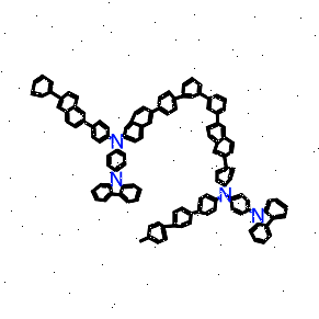 Cc1ccc(-c2ccc(-c3ccc(N(c4ccc(-c5ccc6cc(-c7cccc(-c8cccc(-c9ccc(-c%10ccc%11cc(N(c%12ccc(-c%13ccc%14cc(-c%15ccccc%15)ccc%14c%13)cc%12)c%12ccc(-n%13c%14ccccc%14c%14ccccc%14%13)cc%12)ccc%11c%10)cc9)c8)c7)ccc6c5)cc4)c4ccc(-n5c6ccccc6c6ccccc65)cc4)cc3)cc2)cc1